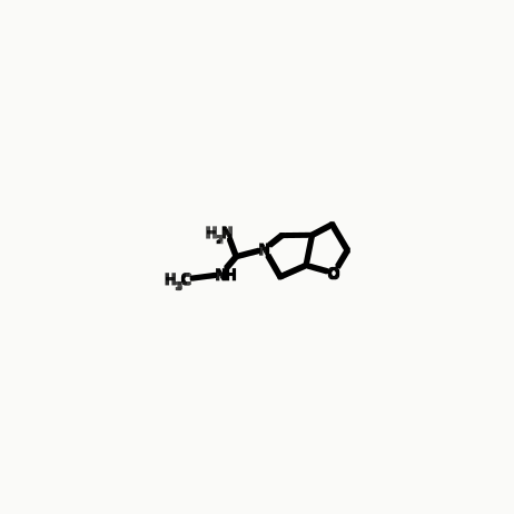 CNC(N)N1CC2CCOC2C1